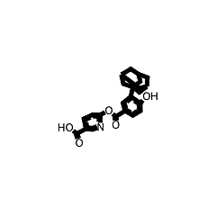 O=C(O)c1ccc(OC(=O)c2ccc(O)c(C34CC5CC(CC(C5)C3)C4)c2)nc1